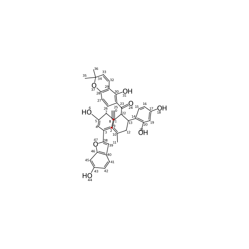 C#C/C=C(\C=C(\O)CC1C=C(C)CC(c2ccc(O)cc2O)C1C(=O)c1ccc2c(c1O)C=CC(C)(C)O2)c1cc2ccc(O)cc2o1